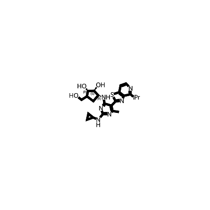 Cc1nc(NC2CC2)nc(N[C@@H]2CC(CO)[C@@H](O)[C@H]2O)c1-c1nc2c(C(C)C)nccc2s1